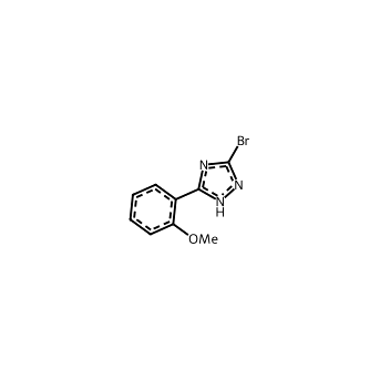 COc1ccccc1-c1nc(Br)n[nH]1